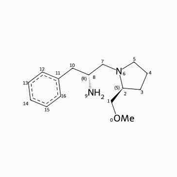 COC[C@@H]1CCCN1C[C@H](N)Cc1ccccc1